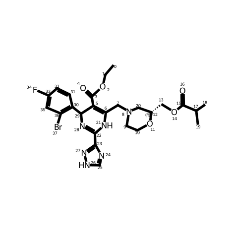 CCOC(=O)C1=C(CN2CCO[C@@H](COC(=O)C(C)C)C2)NC(c2nc[nH]n2)=NC1c1ccc(F)cc1Br